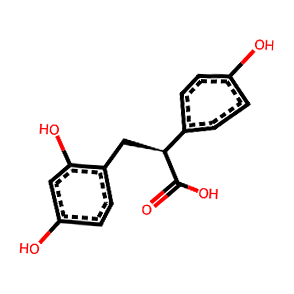 O=C(O)[C@@H](Cc1ccc(O)cc1O)c1ccc(O)cc1